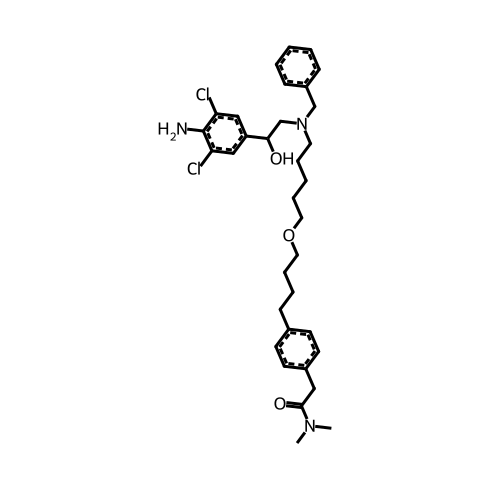 CN(C)C(=O)Cc1ccc(CCCCOCCCCCN(Cc2ccccc2)CC(O)c2cc(Cl)c(N)c(Cl)c2)cc1